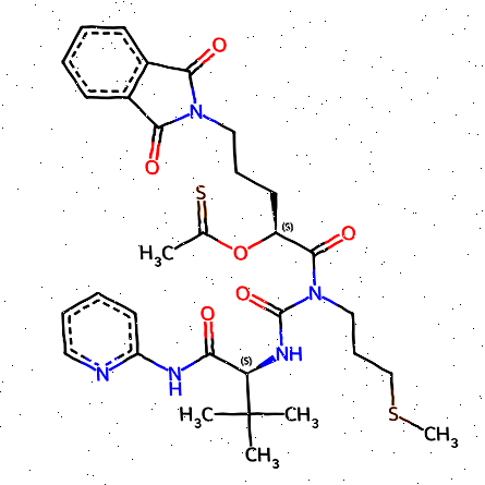 CSCCCN(C(=O)N[C@H](C(=O)Nc1ccccn1)C(C)(C)C)C(=O)[C@H](CCCN1C(=O)c2ccccc2C1=O)OC(C)=S